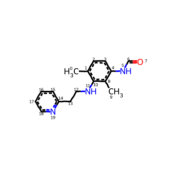 Cc1ccc(NC=O)c(C)c1NCCc1ccccn1